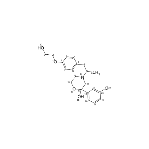 CC(Cc1ccc(OCCO)cc1)N1CCOC(O)(c2cccc(Cl)c2)C1